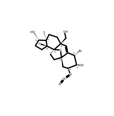 C[C@]12CC[C@]3(CO)C=C4[C@H](Br)[C@H](O)[C@@H](N=[N+]=[N-])C[C@]45CC[C@]3(O5)[C@@H]1CC[C@@H]2O